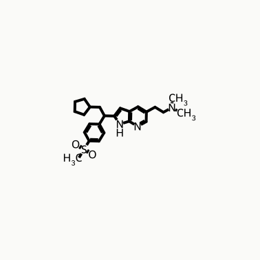 CN(C)CCc1cnc2[nH]c(C(CC3CCCC3)c3ccc(S(C)(=O)=O)cc3)cc2c1